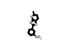 Cc1ccc2oc(-c3cccc([N+](=O)[O-])c3)nc2n1